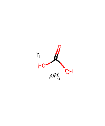 O=C(O)O.[AlH3].[Ti]